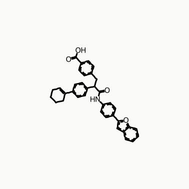 O=C(O)c1ccc(CC(C(=O)Nc2ccc(-c3cc4ccccc4o3)cc2)c2ccc(C3=CCCCC3)cc2)cc1